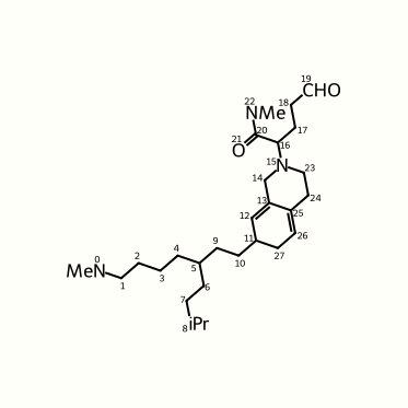 CNCCCCC(CCC(C)C)CCC1C=C2CN(C(CCC=O)C(=O)NC)CCC2=CC1